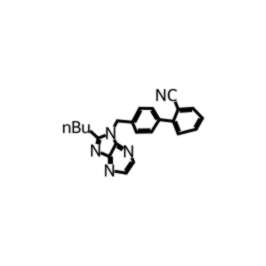 CCCCc1nc2nccnc2n1Cc1ccc(-c2ccccc2C#N)cc1